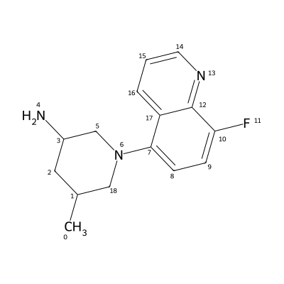 CC1CC(N)CN(c2ccc(F)c3ncccc23)C1